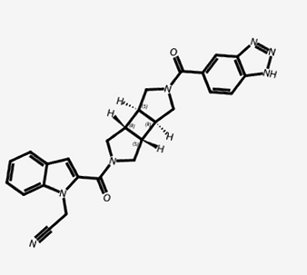 N#CCn1c(C(=O)N2C[C@@H]3[C@H]4CN(C(=O)c5ccc6[nH]nnc6c5)C[C@H]4[C@@H]3C2)cc2ccccc21